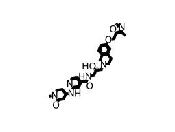 Cc1ncoc1COc1ccc2c(c1)CCN(C[C@@H](O)CNC(=O)c1ccnc(NC3CCN(C)C(=O)C3)c1)C2